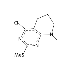 CSc1nc(Cl)c2c(n1)N(C)CCC2